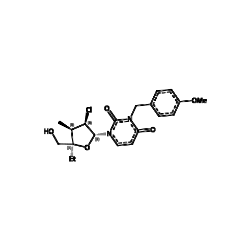 CC[C@@]1(CO)O[C@@H](n2ccc(=O)n(Cc3ccc(OC)cc3)c2=O)[C@H](Cl)[C@@H]1C